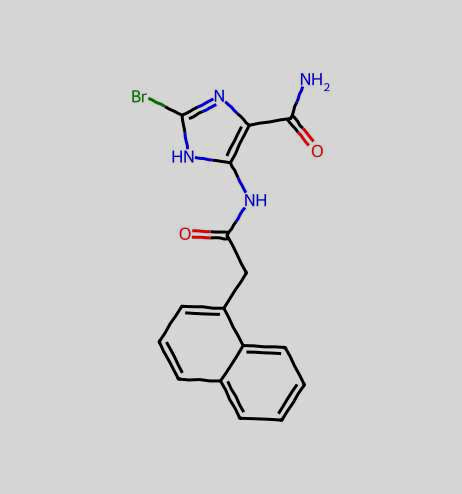 NC(=O)c1nc(Br)[nH]c1NC(=O)Cc1cccc2ccccc12